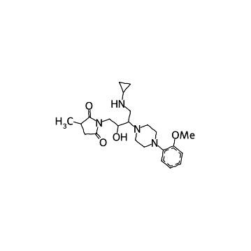 COc1ccccc1N1CCN(C(CNC2CC2)C(O)CN2C(=O)CC(C)C2=O)CC1